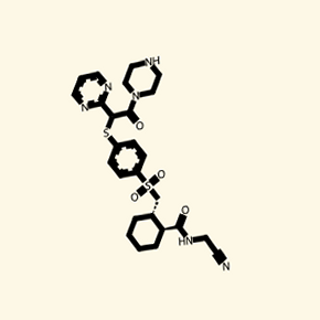 N#CCNC(=O)[C@H]1CCCC[C@@H]1CS(=O)(=O)c1ccc(SC(C(=O)N2CCNCC2)c2ncccn2)cc1